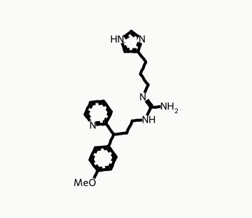 COc1ccc(C(CCNC(N)=NCCCc2c[nH]cn2)c2ccccn2)cc1